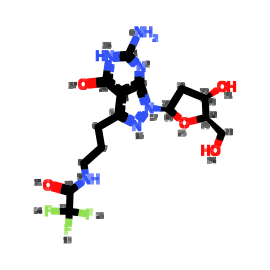 Nc1nc2c(c(CCCNC(=O)C(F)(F)F)nn2[C@H]2C[C@@H](O)[C@@H](CO)O2)c(=O)[nH]1